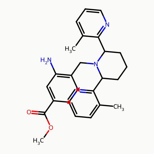 COC(=O)c1ccc(CN2C(c3ncccc3C)CCCC2c2ncccc2C)c(N)c1